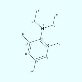 CCN(CC)c1c(C)cc(C)cc1C